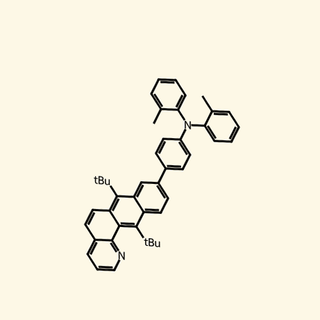 Cc1ccccc1N(c1ccc(-c2ccc3c(C(C)(C)C)c4c(ccc5cccnc54)c(C(C)(C)C)c3c2)cc1)c1ccccc1C